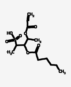 [CH2]C(C(OC(=O)CCCCC)C(C)OC(=O)C=C)S(=O)(=O)O